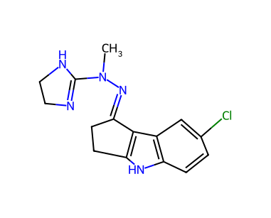 CN(/N=C1\CCc2[nH]c3ccc(Cl)cc3c21)C1=NCCN1